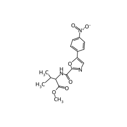 COC(=O)C(NC(=O)c1ncc(-c2ccc([N+](=O)[O-])cc2)o1)C(C)C